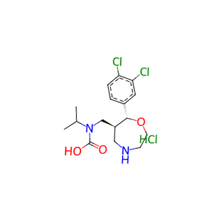 CC(C)N(C[C@@H]1CNCCO[C@H]1c1ccc(Cl)c(Cl)c1)C(=O)O.Cl